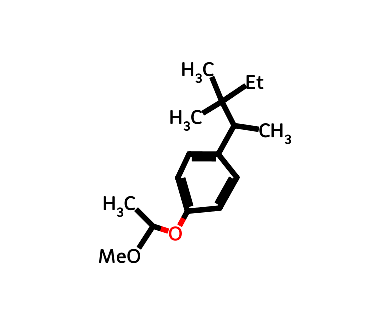 CCC(C)(C)C(C)c1ccc(OC(C)OC)cc1